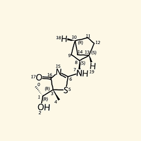 C[C@@H](O)[C@@]1(C)SC(N[C@H]2C[C@@H]3CC[C@H]2C3)=NC1=O